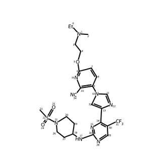 CCN(C)CCOc1ccc(-n2cnc(-c3nc(NC4CCN(S(C)(=O)=O)CC4)ncc3C(F)(F)F)c2)c(C#N)n1